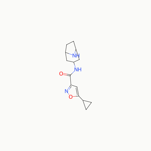 O=C(NC1CC2CCC(C1)N2)c1cc(C2CC2)on1